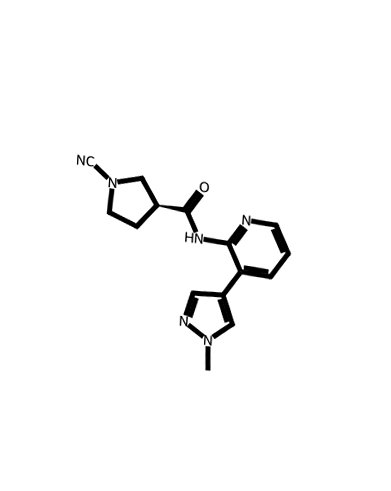 Cn1cc(-c2cccnc2NC(=O)[C@H]2CCN(C#N)C2)cn1